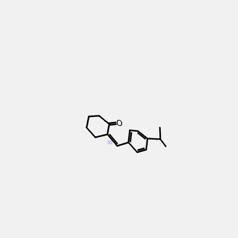 CC(C)c1ccc(/C=C2/CCCCC2=O)cc1